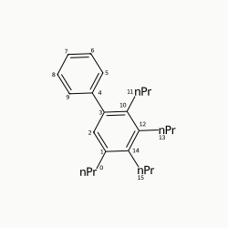 CCCc1cc(-c2ccccc2)c(CCC)c(CCC)c1CCC